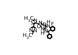 CCc1ncc(-c2sc(C)nc2-c2nnc(N[C@@H]3N=C(c4ccccc4)c4cccc(F)c4NC3=O)o2)cn1